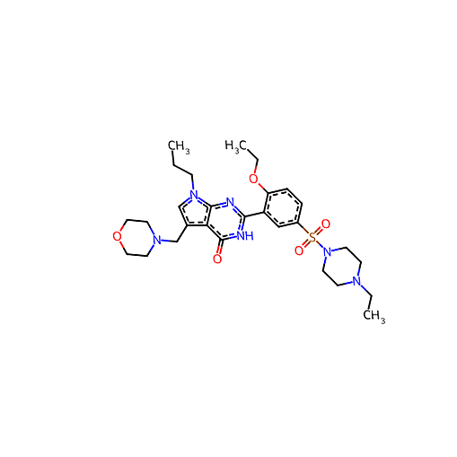 CCCn1cc(CN2CCOCC2)c2c(=O)[nH]c(-c3cc(S(=O)(=O)N4CCN(CC)CC4)ccc3OCC)nc21